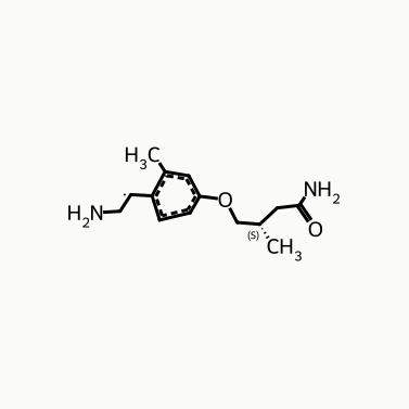 Cc1cc(OC[C@@H](C)CC(N)=O)ccc1[CH]CN